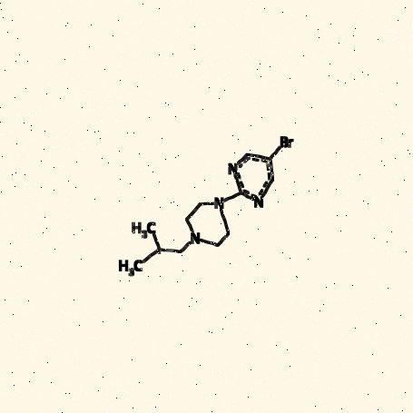 C[C](C)CN1CCN(c2ncc(Br)cn2)CC1